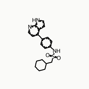 O=S(=O)(CC1CCCCC1)Nc1ccc(-c2ccnc3[nH]ccc23)cc1